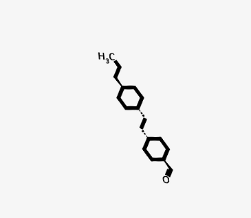 CCC[C@H]1CC[C@H](CC[C@H]2CC[C@H](C=O)CC2)CC1